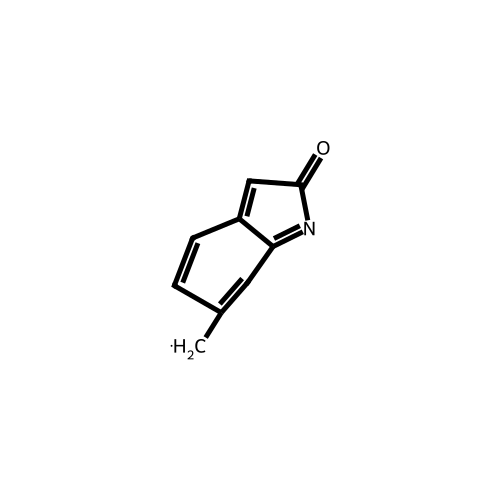 [CH2]c1ccc2c(c1)=NC(=O)C=2